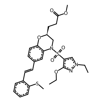 CCOc1nn(CC)cc1S(=O)(=O)N1C[C@H](CCC(=O)OC)Oc2ccc(/C=C/c3ccccc3SC)cc21